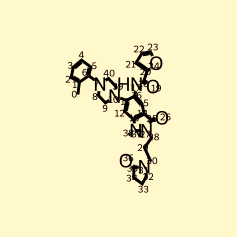 Cc1ccccc1N1CCN(c2cc3c(cc2NC(=O)c2ccco2)c(=O)n(CCCN2CCCC2=O)n3C)CC1